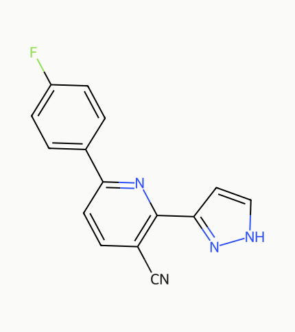 N#Cc1ccc(-c2ccc(F)cc2)nc1-c1cc[nH]n1